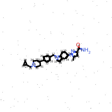 Cc1cc(C(N)=O)nn1-c1ccc2c(ccn2Cc2ccc(C3=CCN(CC4CC4)CC3)cc2)c1